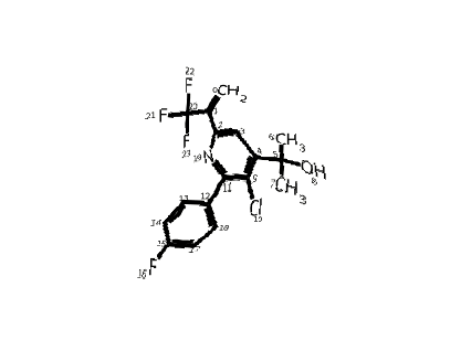 C=C(c1cc(C(C)(C)O)c(Cl)c(-c2ccc(F)cc2)n1)C(F)(F)F